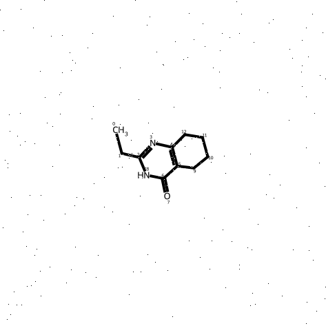 CCc1nc2c(c(=O)[nH]1)CCCC2